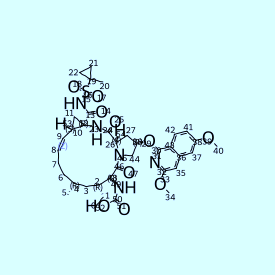 CC[C@@H]1C[C@H](C)CC/C=C\[C@@H]2C[C@@]2(C(=O)NS(=O)(=O)C2(C)CC2)NC(=O)[C@@H]2C[C@@H](Oc3nc(OC)cc4cc(OC)ccc34)CN2C(=O)[C@H]1NC(=O)O